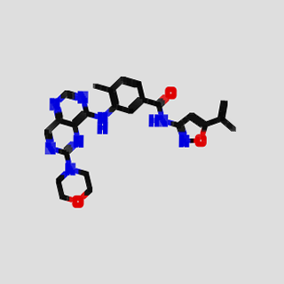 C=C(C)c1cc(NC(=O)c2ccc(C)c(Nc3ncnc4cnc(N5CCOCC5)nc34)c2)no1